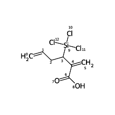 C=CCC(C(=C)C(=O)O)[Si](Cl)(Cl)Cl